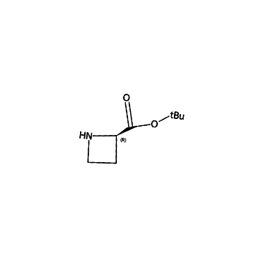 CC(C)(C)OC(=O)[C@H]1CCN1